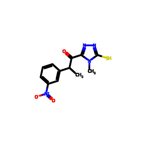 CC(C(=O)c1nnc(S)n1C)c1cccc([N+](=O)[O-])c1